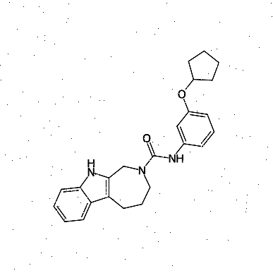 O=C(Nc1cccc(OC2CCCC2)c1)N1CCCc2c([nH]c3ccccc23)C1